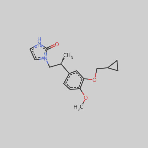 COc1ccc([C@H](C)Cn2cc[nH]c2=O)cc1OCC1CC1